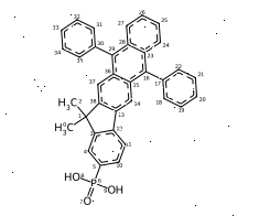 CC1(C)c2cc(P(=O)(O)O)ccc2-c2cc3c(-c4ccccc4)c4ccccc4c(-c4ccccc4)c3cc21